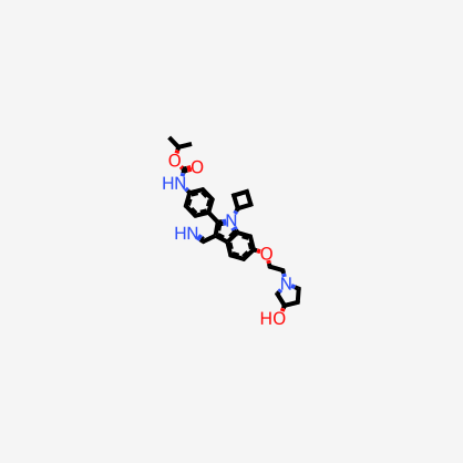 CC(C)OC(=O)Nc1ccc(-c2c(C=N)c3ccc(OCCN4CCC(O)C4)cc3n2C2CCC2)cc1